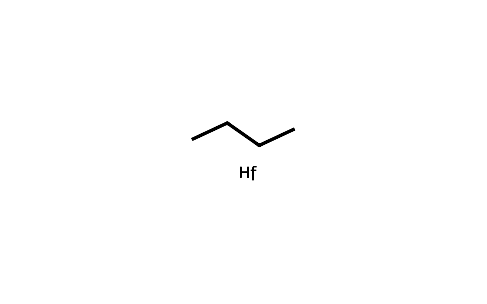 CCCC.[Hf]